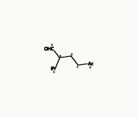 CC(=O)CCC(C=O)C(C)C